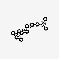 C1=CC(n2c3ccccc3c3ccc4c5ccccc5n(-c5ccc6oc7c(-c8cccc9c8oc8cc(-c%10ccc(-c%11nc(-c%12ccccc%12)nc(-c%12ccccc%12)n%11)cc%10)ccc89)cccc7c6c5)c4c32)=CCC1